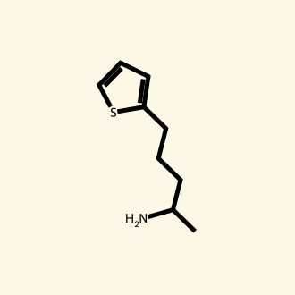 CC(N)CCCc1cccs1